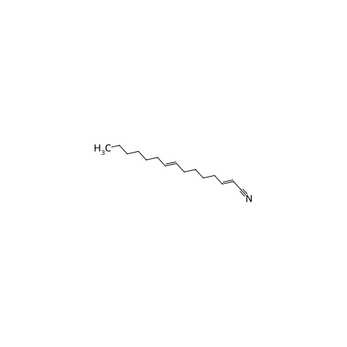 CCCCCCC=CCCCCC=CC#N